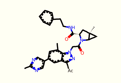 CC(=O)c1nn(CC(=O)N2C3C[C@]3(C)C[C@H]2C(=O)NCCc2ccccc2)c2c(C)cc(-c3cnc(C)nc3)cc12